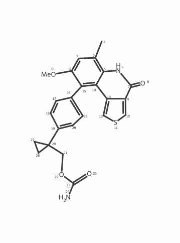 COc1cc(C)c2[nH]c(=O)c3cscc3c2c1-c1ccc(C2(COC(N)=O)CC2)cc1